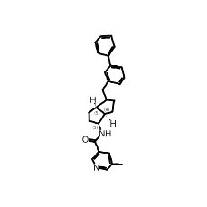 Cc1cncc(C(=O)N[C@H]2CC[C@H]3C(Cc4cccc(-c5ccccc5)c4)CC[C@@H]23)c1